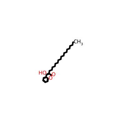 CCCCCCCCCCCCCCCCCCc1c(O)c2ccccc2oc1=O